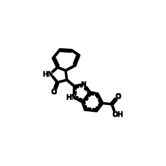 O=C(O)c1ccc2[nH]c(C3C(=O)NC4=CC=CC=CC43)nc2c1